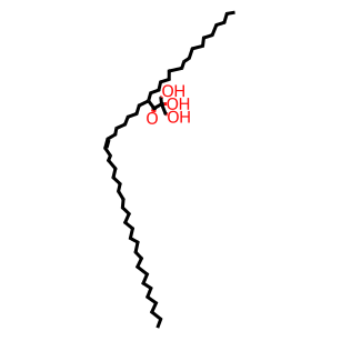 CCCCCCCCCCCCCCCCCCCCCCCC/C=C\CCCCCCC(CCCCCCCCCCCCCCCC)C(=O)C(O)(CO)CO